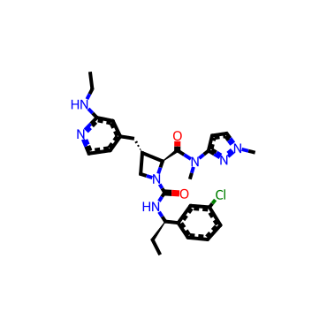 CCNc1cc(C[C@H]2CN(C(=O)N[C@H](CC)c3cccc(Cl)c3)[C@@H]2C(=O)N(C)c2ccn(C)n2)ccn1